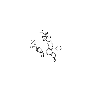 COc1ccc2c(c1)C=C(C(=O)N1CC3CC1CN3C(=O)OC(C)(C)C)Cn1c-2c(C2CCCCC2)c2ccc(C(=O)NS(=O)(=O)C3CC3)cc21